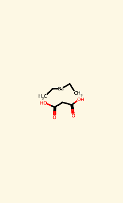 C[CH2][Ba][CH2]C.O=C(O)CC(=O)O